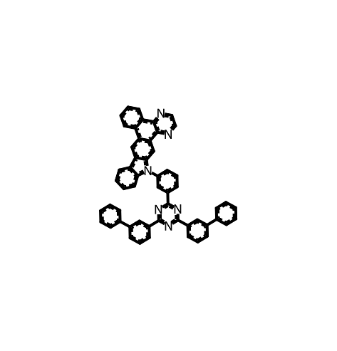 c1ccc(-c2cccc(-c3nc(-c4cccc(-c5ccccc5)c4)nc(-c4cccc(-n5c6ccccc6c6cc7c8ccccc8c8nccnc8c7cc65)c4)n3)c2)cc1